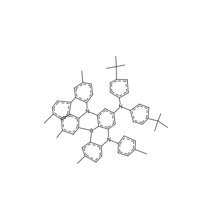 Cc1ccc(-c2cc(C)ccc2N2c3ccc(C)cc3B3c4cc(C)ccc4N(c4ccc(C)cc4)c4cc(N(c5ccc(C(C)(C)C)cc5)c5ccc(C(C)(C)C)cc5)cc2c43)cc1